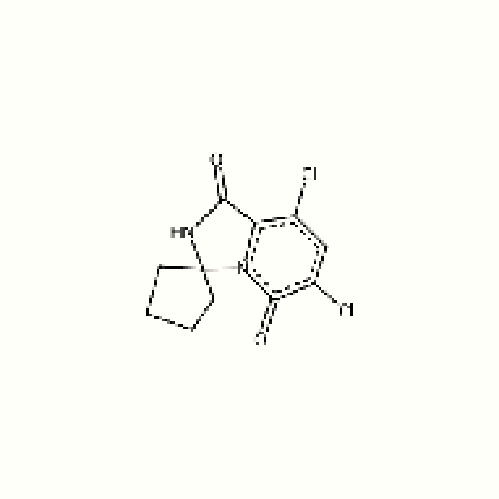 O=C1NC2(CCCC2)n2c1c(Cl)cc(Cl)c2=O